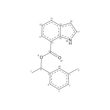 Cc1cccc(C(C)OC(=O)c2cccc3cc[nH]c23)c1